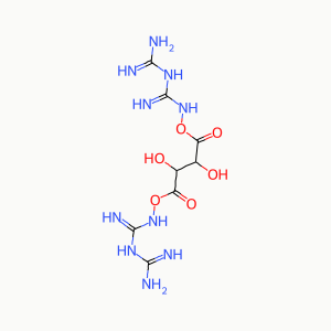 N=C(N)NC(=N)NOC(=O)C(O)C(O)C(=O)ONC(=N)NC(=N)N